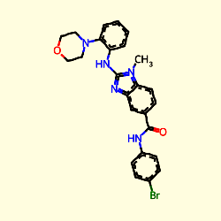 Cn1c(Nc2ccccc2N2CCOCC2)nc2cc(C(=O)Nc3ccc(Br)cc3)ccc21